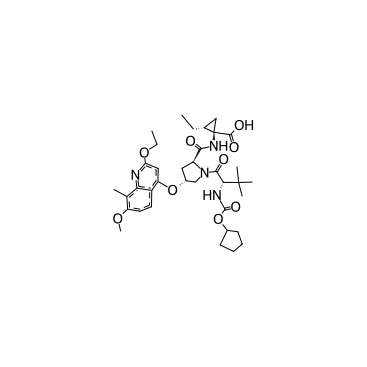 CCOc1cc(O[C@@H]2C[C@@H](C(=O)N[C@]3(C(=O)O)C[C@H]3CC)N(C(=O)[C@@H](NC(=O)OC3CCCC3)C(C)(C)C)C2)c2ccc(OC)c(C)c2n1